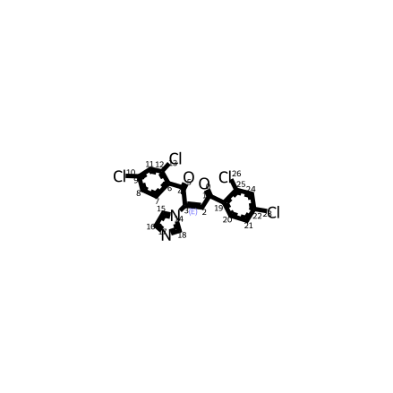 O=C(/C=C(\C(=O)c1ccc(Cl)cc1Cl)n1ccnc1)c1ccc(Cl)cc1Cl